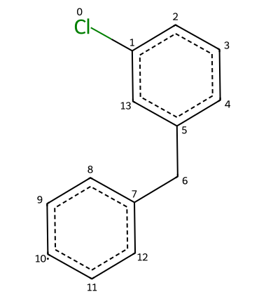 Clc1cccc(Cc2cc[c]cc2)c1